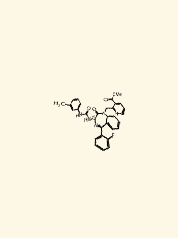 COC(=O)c1cccnc1CN1C(=O)[C@H](NC(=O)Nc2cccc(C)c2)N=C(c2ccccc2F)c2ccccc21